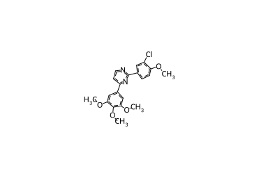 COc1ccc(-c2nccc(-c3cc(OC)c(OC)c(OC)c3)n2)cc1Cl